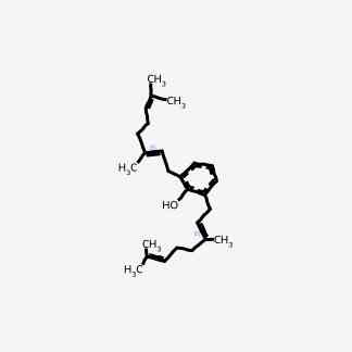 CC(C)=CCC/C(C)=C/Cc1cccc(C/C=C(\C)CCC=C(C)C)c1O